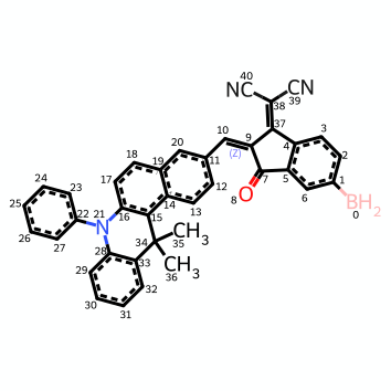 Bc1ccc2c(c1)C(=O)/C(=C\c1ccc3c4c(ccc3c1)N(c1ccccc1)c1ccccc1C4(C)C)C2=C(C#N)C#N